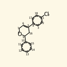 Clc1ccc(C2=CCOC(c3ccccc3)C2)cc1